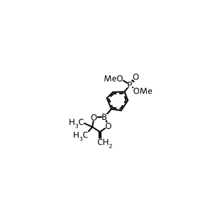 C=C1OB(c2ccc(P(=O)(OC)OC)cc2)OC1(C)C